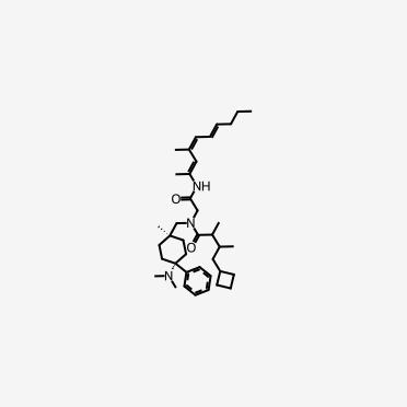 CCC/C=C/C=C(C)\C=C(/C)NC(=O)CN(C[C@]1(C)CC[C@@](c2ccccc2)(N(C)C)CC1)C(=O)C(C)C(C)CC1CCC1